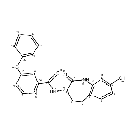 O=C(N[C@H]1CCc2ccc(O)nc2NC1=O)c1cc(Oc2ccccc2)ccn1